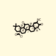 [C-]#[N+]C1=C[C@]2(C)[C@H]3CC(=O)[C@@H]4[C@@H]5CC(C)(C)CC[C@]5(C(=O)Cl)CC[C@@]4(C)[C@]3(C)CC[C@H]2[C@H](C)C1=O